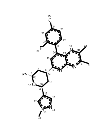 Cc1nc2nc([C@H]3C[C@@H](C)O[C@H](c4cnn(C)c4)C3)cc(-c3ccc(Cl)cc3F)c2nc1C